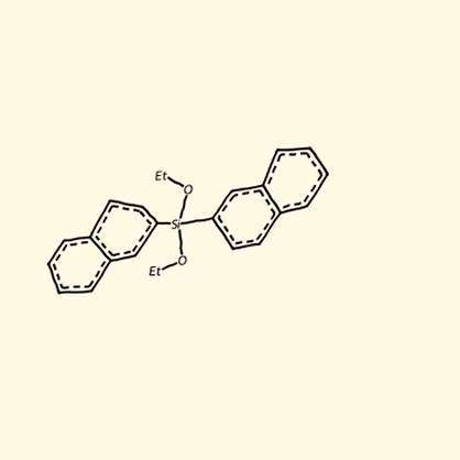 CCO[Si](OCC)(c1ccc2ccccc2c1)c1ccc2ccccc2c1